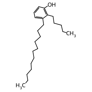 CCCCCCCCCCCCc1cccc(O)c1CCCCC